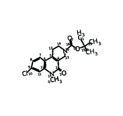 Cn1c(=O)c2c(c3ccc(Cl)cc31)CCN(C(=O)OC(C)(C)C)C2